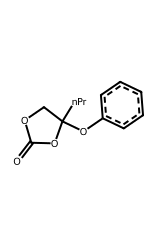 CCCC1(Oc2ccccc2)COC(=O)O1